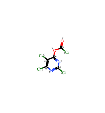 O=C(Cl)Oc1nc(Cl)nc(Cl)c1Cl